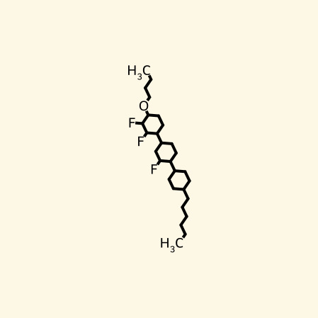 CCCCCCC1CCC(C2CCC(C3CCC(OCCCC)C(F)C3F)CC2F)CC1